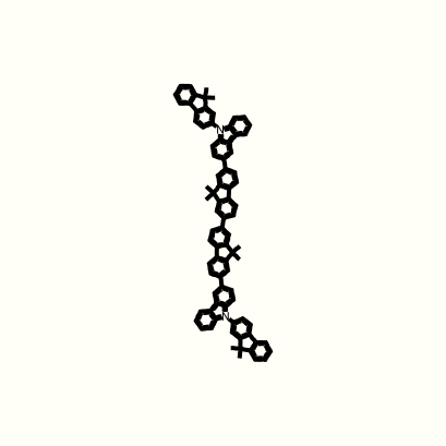 CC1(C)c2cc(-c3ccc4c(c3)C(C)(C)c3cc(-c5ccc6c(c5)c5ccccc5n6-c5ccc6c(c5)C(C)(C)c5ccccc5-6)ccc3-4)ccc2-c2ccc(-c3ccc4c(c3)c3ccccc3n4-c3ccc4c(c3)C(C)(C)c3ccccc3-4)cc21